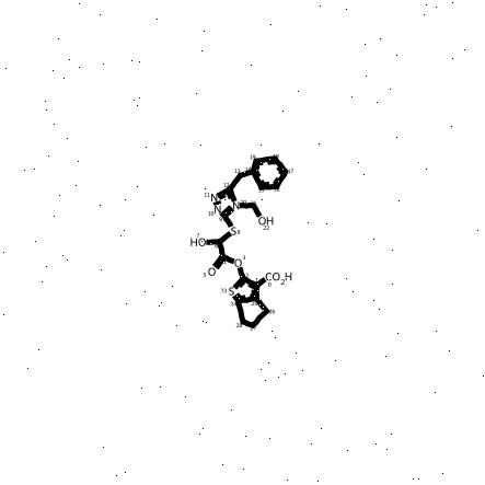 O=C(O)c1c(OC(=O)C(O)Sc2nnc(Cc3ccccc3)n2CO)sc2c1CCC2